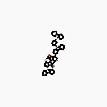 c1cc(-n2c3ccccc3c3ccccc32)cc(-n2c3ccccc3c3cc(-c4cnc5c(c4)C4(c6ccccc6Sc6ccc(-n7c8ccccc8c8ccccc87)cc64)c4cccnc4-5)ccc32)c1